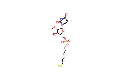 CO[C@H]1C(O)[C@@H](COP(=O)(O)OCCCCCCS)O[C@H]1n1ccc(=O)[nH]c1=O